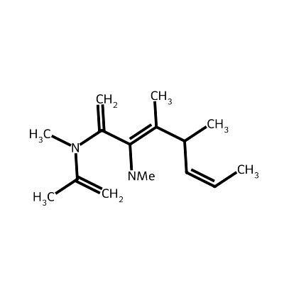 C=C(C)N(C)C(=C)/C(NC)=C(\C)C(C)/C=C\C